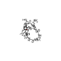 CC[C@H](C)[C@@H]1NC(=O)CNC(=O)[C@@H]2Cc3c([nH]c4ccccc34)SC[C@H](NC(=O)CNC1=O)C(=O)N[C@@H](CC(N)=O)C(=O)N1C[C@H](O)C[C@H]1C(=O)N[C@@H]([C@@H](C)CC)C(=O)N2